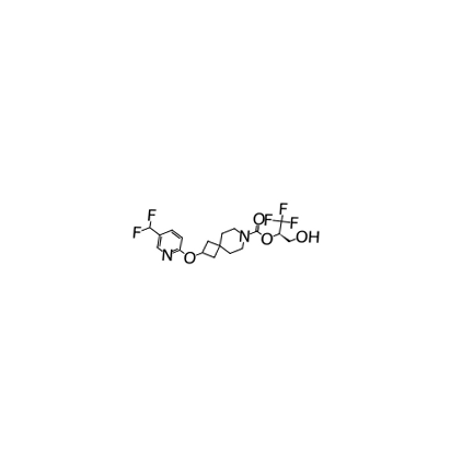 O=C(O[C@H](CO)C(F)(F)F)N1CCC2(CC1)CC(Oc1ccc(C(F)F)cn1)C2